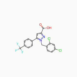 O=C(O)c1cc(-c2ccc(C(F)(F)F)cc2)n(Cc2ccc(Cl)cc2Cl)n1